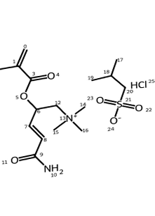 C=C(C)C(=O)OC(C=CC(N)=O)C[N+](C)(C)C.CC(C)CS(=O)(=O)[O-].Cl